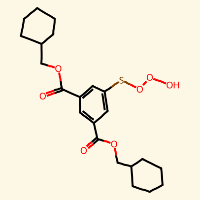 O=C(OCC1CCCCC1)c1cc(SOOO)cc(C(=O)OCC2CCCCC2)c1